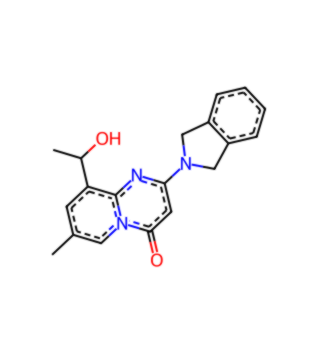 Cc1cc(C(C)O)c2nc(N3Cc4ccccc4C3)cc(=O)n2c1